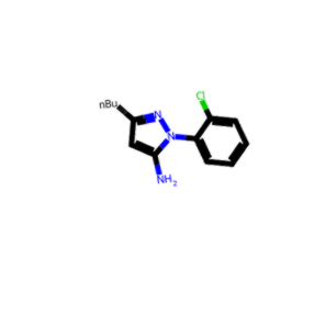 CCCCc1cc(N)n(-c2ccccc2Cl)n1